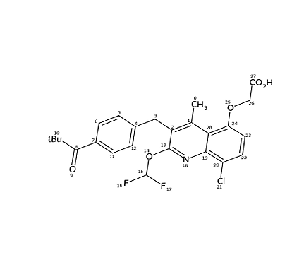 Cc1c(Cc2ccc(C(=O)C(C)(C)C)cc2)c(OC(F)F)nc2c(Cl)ccc(OCC(=O)O)c12